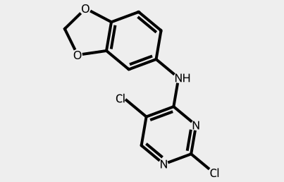 Clc1ncc(Cl)c(Nc2ccc3c(c2)OCO3)n1